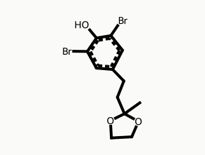 CC1(CCc2cc(Br)c(O)c(Br)c2)OCCO1